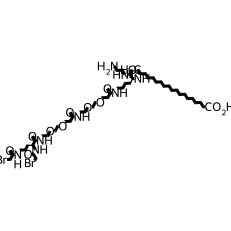 C=C(CCCCCCCCCCCCCCCCC(=O)O)N[C@@H](CCCCNC(=O)CCOCCOCCNC(=O)CCOCCOCCNC(=O)[C@H](CCCNC(=O)CBr)NC(=O)CBr)C(=O)NCCN